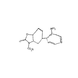 Nc1cnccc1C1CCC2OC(=O)N(C(=O)O)C2C1